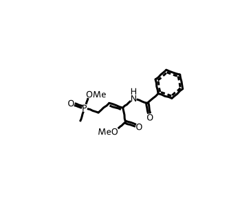 COC(=O)C(=CCP(C)(=O)OC)NC(=O)c1ccccc1